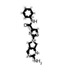 Nc1ncc2c(n1)CN(c1nc(C(=O)Nc3ccccc3)cs1)C2